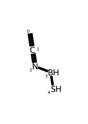 C=C=NBS